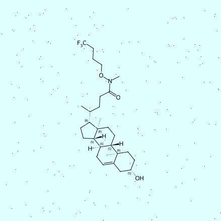 CC(CCC(=O)N(C)OCCCC(F)(F)F)[C@H]1CC[C@H]2[C@@H]3CC=C4C[C@@H](O)CC[C@]4(C)[C@H]3CC[C@]12C